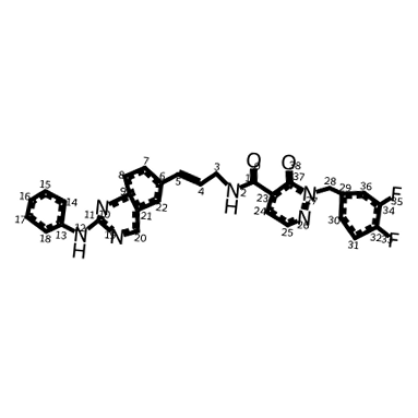 O=C(NCC=Cc1ccc2nc(Nc3ccccc3)ncc2c1)c1ccnn(Cc2ccc(F)c(F)c2)c1=O